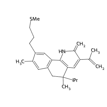 C=C(C)C1=CC2=C(NC1=C)c1cc(CCCSC)c(C)cc1CC2(C)C(C)C